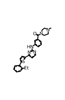 CCc1ccccc1-c1ccc(-c2ccnc(Nc3cccc(C(=O)N4CCN(C)CC4)c3)n2)s1